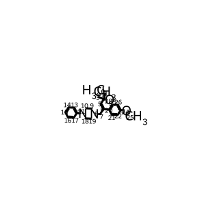 CCC1(CC)C=C(CN2CCN(c3ccccc3)CC2)c2ccc(OC)cc2O1